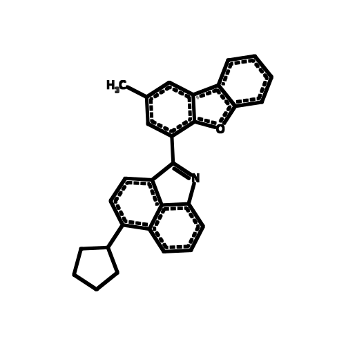 Cc1cc(C2=Nc3cccc4c(C5CCCC5)ccc2c34)c2oc3ccccc3c2c1